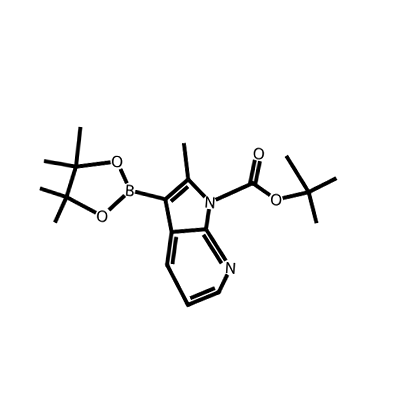 Cc1c(B2OC(C)(C)C(C)(C)O2)c2cccnc2n1C(=O)OC(C)(C)C